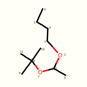 [CH2]C(OCCCC)OC(C)(C)C